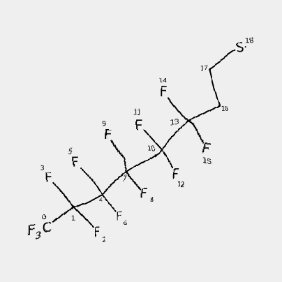 FC(F)(F)C(F)(F)C(F)(F)C(F)(F)C(F)(F)C(F)(F)CC[S]